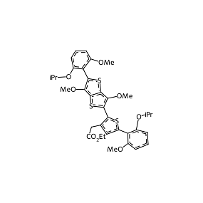 CCOC(=O)Cc1cc(-c2c(OC)cccc2OC(C)C)sc1-c1sc2c(OC)c(-c3c(OC)cccc3OC(C)C)sc2c1OC